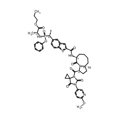 CCCOC(=O)[C@H](C)NP(=O)(Oc1ccccc1)[C@@H](F)c1ccc2sc(C(=O)N[C@H]3CCCC[C@H]4CC[C@@H](C(=O)N5C(=O)N(c6ccc(OC)nc6)C(=O)C56CC6)N4C3=O)cc2c1